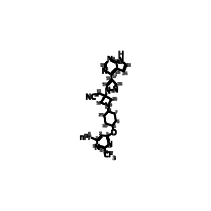 CCCc1cc(OC2CCC(N3CC(CC#N)(n4cc(-c5ncnc6[nH]ccc56)cn4)C3)CC2)nc(C(F)(F)F)n1